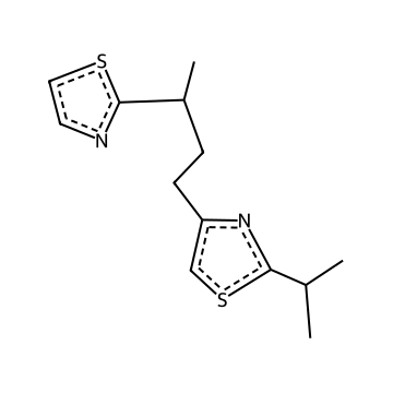 CC(C)c1nc(CCC(C)c2nccs2)cs1